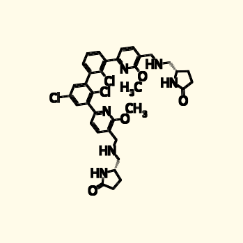 COc1nc(-c2cccc(-c3cc(Cl)cc(-c4ccc(CNC[C@@H]5CCC(=O)N5)c(OC)n4)c3Cl)c2Cl)ccc1CNC[C@@H]1CCC(=O)N1